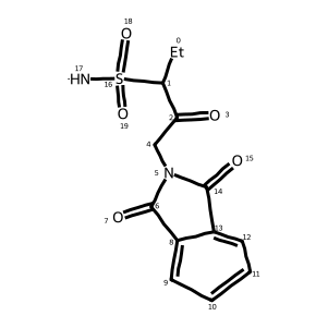 CCC(C(=O)CN1C(=O)c2ccccc2C1=O)S([NH])(=O)=O